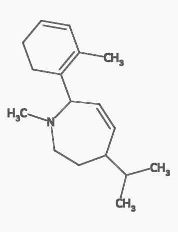 CC1=C(C2C=CC(C(C)C)CCN2C)CCC=C1